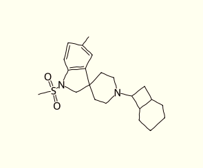 Cc1ccc2c(c1)C1(CCN(C3CC4CCCCC43)CC1)CN2S(C)(=O)=O